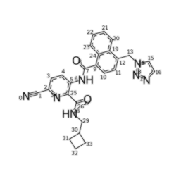 N#Cc1ccc(NC(=O)c2ccc(Cn3ccnn3)c3ccccc23)c(C(=O)NCC2CCC2)n1